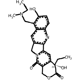 CCN(C)Cc1c(O)ccc2nc3c(cc12)Cn1c-3cc2c(c1=O)COC(=O)[C@]2(O)CC